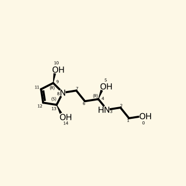 OCCN[C@H](O)CCN1[C@H](O)C=C[C@@H]1O